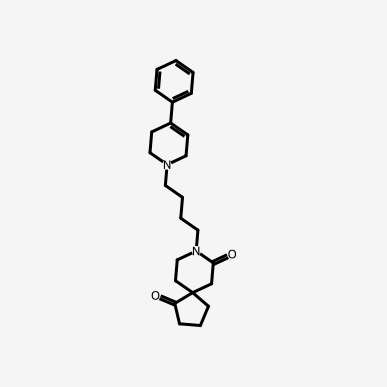 O=C1CC2(CCCC2=O)CCN1CCCCN1CC=C(c2ccccc2)CC1